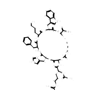 CCCCC1NC(=O)C(Cc2ccccc2)NC(=O)[C@H](Cc2c[nH]cn2)NC(=O)C(NC(=O)[C@H](CCCNC(=N)N)NC(C)=O)CC(=O)NCCCCC(C(N)=O)NC(=O)[C@H](Cc2c[nH]c3ccccc23)NC1=O